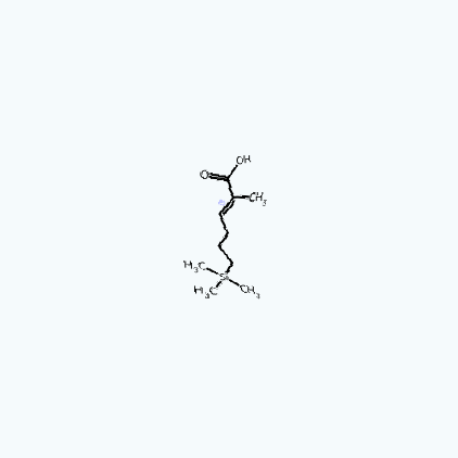 C/C(=C\CCC[Si](C)(C)C)C(=O)O